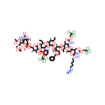 CCC1O[C@@H](OC2[C@@H]3OC(c4ccccc4)OCC3O[C@@H](O[C@@H]3C(CC)O[C@@H](O[C@@H]4C(CC)O[C@@H](OCCCCCN=[N+]=[N-])[C@@H](NC(=O)OCC(Cl)(Cl)Cl)C4C)[C@@H](NC(=O)OCC(Cl)(Cl)Cl)C3C)[C@@H]2C)[C@@H](O[C@@H]2OC(CC)[C@@H](O[C@@H]3OC(CO[C@]4(C(=O)OC)C[C@H]5OC(=O)N[C@H]5C([C@H](OC(C)=O)[C@@H](CC)OC(C)=O)O4)[C@H](C)C(C)[C@@H]3OC(=O)c3ccccc3)C(C)[C@@H]2NC(=O)OCC(Cl)(Cl)Cl)C(C)[C@H]1C